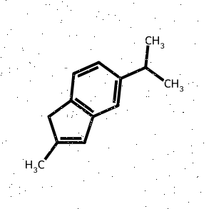 CC1=Cc2cc(C(C)C)ccc2C1